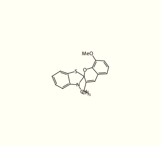 COc1cccc2c1OC1(Sc3ccccc3N1C)C(C)=C2